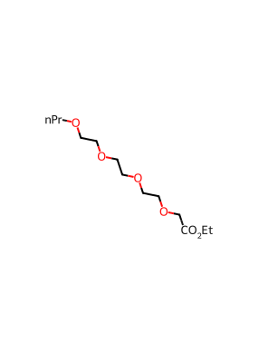 CCCOCCOCCOCCOCC(=O)OCC